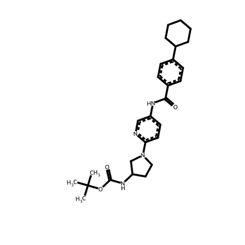 CC(C)(C)OC(=O)NC1CCN(c2ccc(NC(=O)c3ccc(C4CCCCC4)cc3)cn2)C1